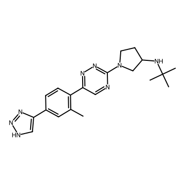 Cc1cc(-c2c[nH]nn2)ccc1-c1cnc(N2CCC(NC(C)(C)C)C2)nn1